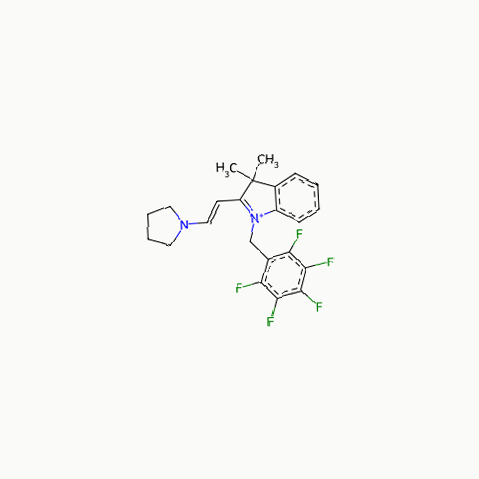 CC1(C)C(C=CN2CCCC2)=[N+](Cc2c(F)c(F)c(F)c(F)c2F)c2ccccc21